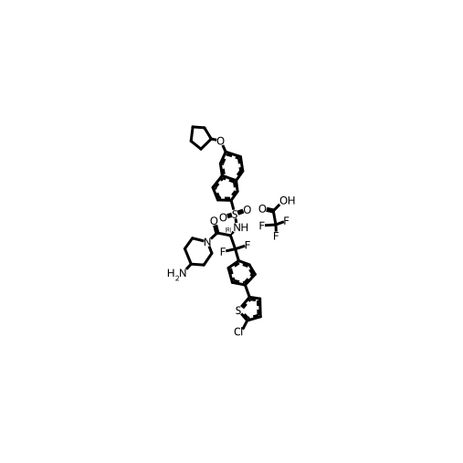 NC1CCN(C(=O)[C@@H](NS(=O)(=O)c2ccc3cc(OC4CCCC4)ccc3c2)C(F)(F)c2ccc(-c3ccc(Cl)s3)cc2)CC1.O=C(O)C(F)(F)F